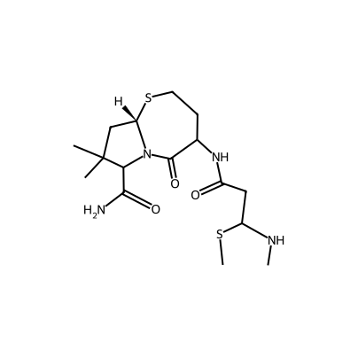 CNC(CC(=O)NC1CCS[C@H]2CC(C)(C)C(C(N)=O)N2C1=O)SC